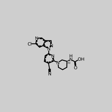 N#Cc1ccc(-n2ncc3cnc(Cl)cc32)nc1N1CCC[C@H](NC(=O)O)C1